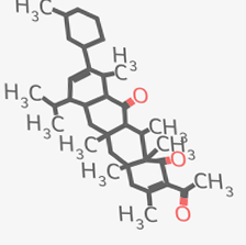 CC(=O)C1=C(C)CC2(C)CC3(C)CC4C(C(C)C)C=C(C5CCCC(C)C5)C(C)C4C(=O)C3C(C)C2(C)C1=O